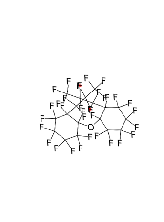 FC(F)(F)C(F)(F)C(F)(F)C1(F)C(F)(F)C(F)(F)C(F)(F)C(F)(F)C1(F)OC1(F)C(F)(F)C(F)(F)C(F)(F)C(F)(F)C1(F)C(F)(F)C(F)(F)C(F)(F)F